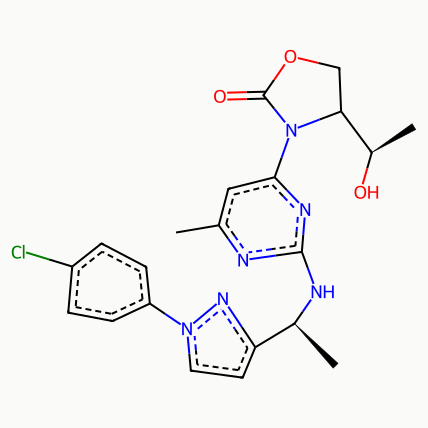 Cc1cc(N2C(=O)OCC2[C@@H](C)O)nc(N[C@@H](C)c2ccn(-c3ccc(Cl)cc3)n2)n1